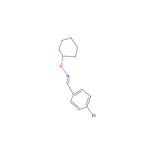 CCc1ccc(/[C]=N/OC2CCCCC2)cc1